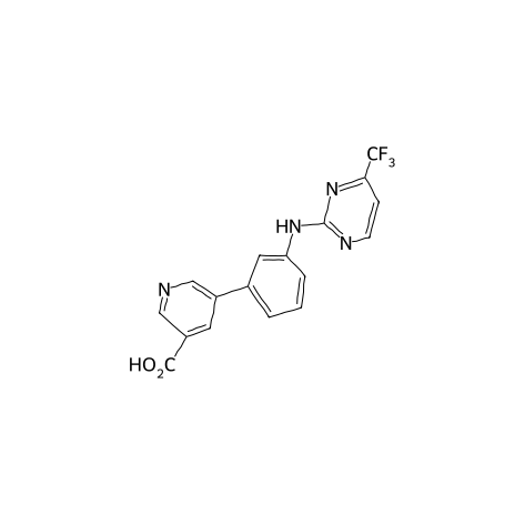 O=C(O)c1cncc(-c2cccc(Nc3nccc(C(F)(F)F)n3)c2)c1